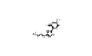 CC(=O)CCSc1nnc(-c2ccc(F)cc2Cl)o1